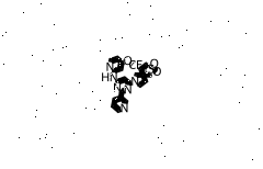 O=S1(=O)CCC2(CCN(c3cc(Nc4cc(OC(F)(F)F)ccn4)nc(-c4cccnc4)n3)C2)C1